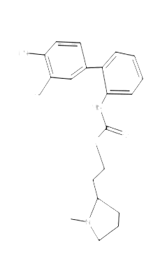 CN1CCCC1CCOC(=O)Nc1ccccc1-c1ccc(N)c(Cl)c1